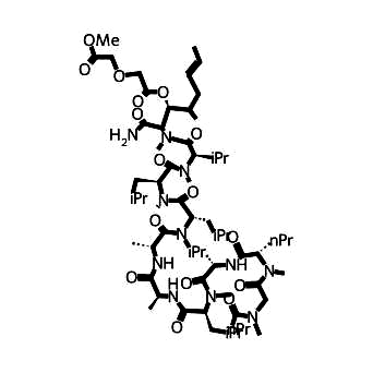 C/C=C/CC(C)[C@@H](OC(=O)COCC(=O)OC)C(C(N)=O)N(C)C(=O)[C@@H](C(C)C)N(C)C(=O)[C@H](CC(C)C)N(C)C(=O)[C@H](CC(C)C)N(C)C(=O)[C@@H](C)NC(=O)[C@H](C)NC(=O)[C@H](CC(C)C)N(C)C(=O)[C@@H](NC(=O)[C@H](CCC)N(C)C(=O)CN(C)C(=O)CCC)C(C)C